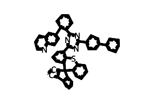 c1ccc(-c2ccc(-c3nc(-c4ccccc4-c4ccc5ncccc5c4)nc(-c4cccc5c4Sc4ccccc4C54c5ccccc5-c5ccccc54)n3)cc2)cc1